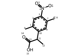 Cc1cc([N+](=O)[O-])c(F)cc1C(C)C(=O)O